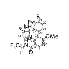 COc1ncc(C(=O)N[C@@H](C)C(F)(F)F)c(N2CC[C@](C)(N)C2)c1-c1ccc(F)c(F)c1